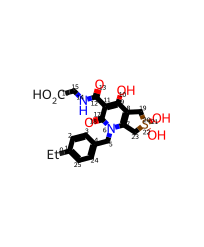 CCc1ccc(Cn2c3c(c(O)c(C(=O)NCC(=O)O)c2=O)CS(O)(O)C3)cc1